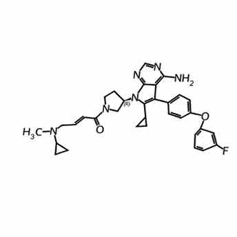 CN(CC=CC(=O)N1CC[C@@H](n2c(C3CC3)c(-c3ccc(Oc4cccc(F)c4)cc3)c3c(N)ncnc32)C1)C1CC1